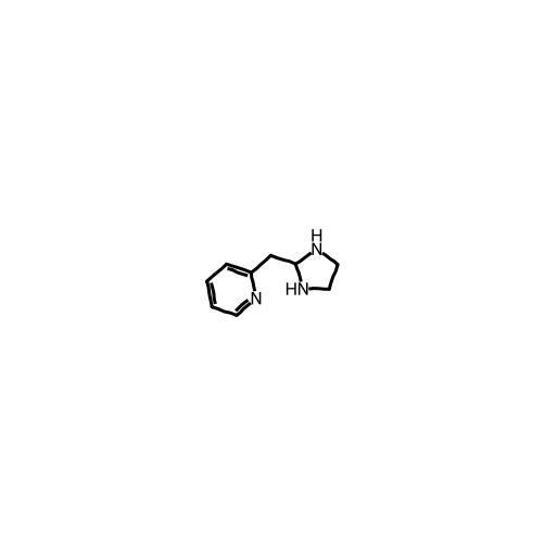 c1ccc(CC2NCCN2)nc1